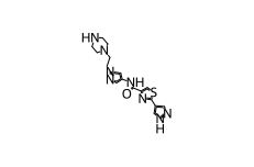 O=C(Nc1cnn(CCN2CCNCC2)c1)c1csc(-c2cn[nH]c2)n1